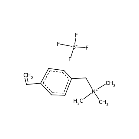 C=Cc1ccc(C[N+](C)(C)C)cc1.F[B-](F)(F)F